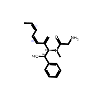 C=C(/C=C\C=C/C)[C@H]([C@H](O)c1ccccc1)N(C)C(=O)CN